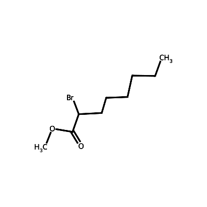 CCCCCCC(Br)C(=O)OC